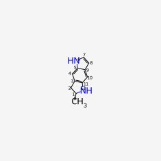 CC1Cc2cc3[nH]ccc3cc2N1